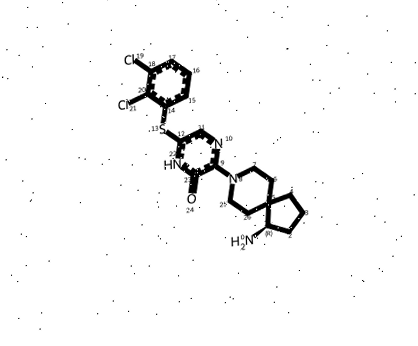 N[C@@H]1CCCC12CCN(c1ncc(Sc3cccc(Cl)c3Cl)[nH]c1=O)CC2